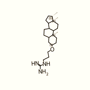 C[C@H]1CCC2C3CCC4C[C@@H](OCCCNC(=N)N)CC[C@]4(C)C3CC[C@@]21C